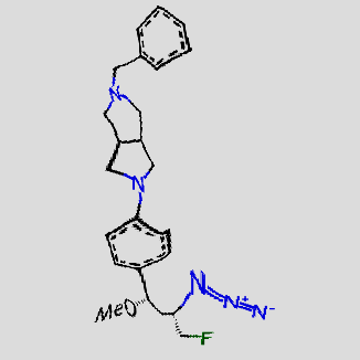 CO[C@H](c1ccc(N2CC3CN(Cc4ccccc4)CC3C2)cc1)[C@@H](CF)N=[N+]=[N-]